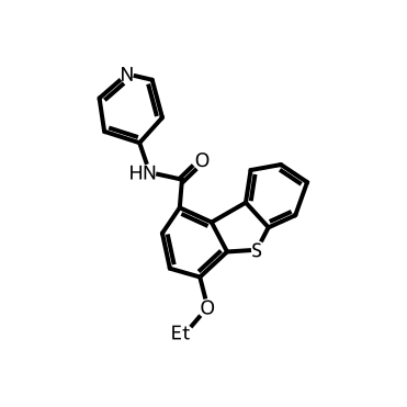 CCOc1ccc(C(=O)Nc2ccncc2)c2c1sc1ccccc12